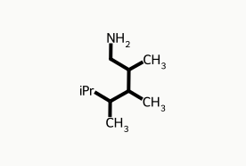 CC(C)C(C)C(C)C(C)CN